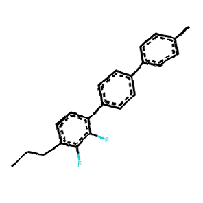 CCCc1ccc(-c2ccc(-c3ccc(C)cc3)cc2)c(F)c1F